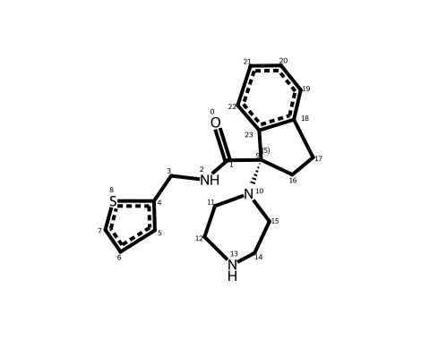 O=C(NCc1cccs1)[C@]1(N2CCNCC2)CCc2ccccc21